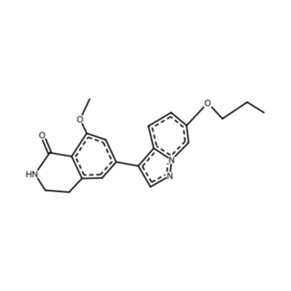 CCCOc1ccc2c(-c3cc4c(c(OC)c3)C(=O)NCC4)cnn2c1